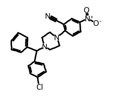 N#Cc1cc([N+](=O)[O-])ccc1N1CCN(C(c2ccccc2)c2ccc(Cl)cc2)CC1